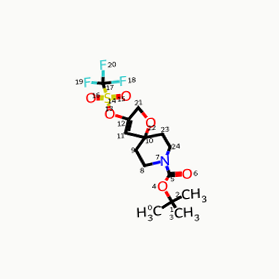 CC(C)(C)OC(=O)N1CCC2(C=C(OS(=O)(=O)C(F)(F)F)CO2)CC1